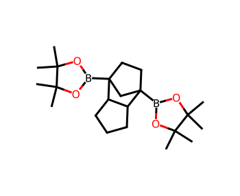 CC1(C)OB(C23CCC(B4OC(C)(C)C(C)(C)O4)(C2)C2CCCC23)OC1(C)C